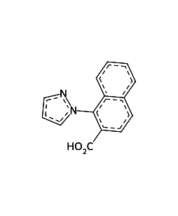 O=C(O)c1ccc2ccccc2c1-n1cccn1